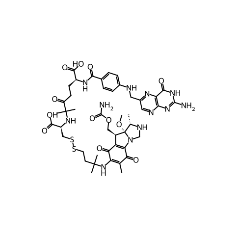 CO[C@]12[C@H](C)NCN1C1=C(C(=O)C(NC(C)(C)CCSSC[C@H](NC(C)(C)C(=O)CC[C@H](NC(=O)c3ccc(NCc4cnc5nc(N)[nH]c(=O)c5n4)cc3)C(=O)O)C(=O)O)=C(C)C1=O)[C@H]2COC(N)=O